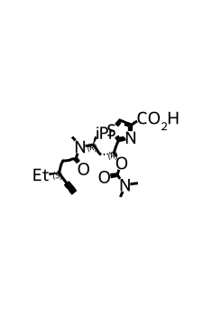 C#C[C@@H](CC)CC(=O)N(C)[C@H](C[C@@H](OC(=O)N(C)C)c1nc(C(=O)O)cs1)C(C)C